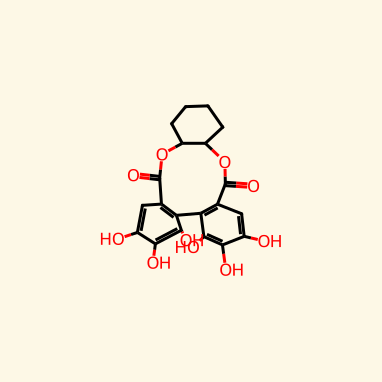 O=C1OC2CCCCC2OC(=O)c2cc(O)c(O)c(O)c2-c2c1cc(O)c(O)c2O